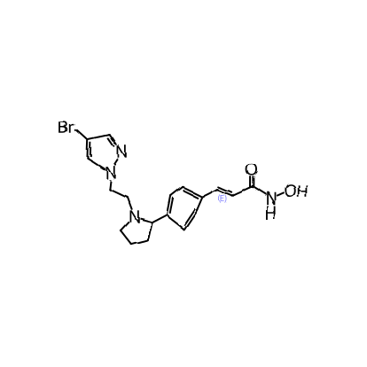 O=C(/C=C/c1ccc(C2CCCN2CCn2cc(Br)cn2)cc1)NO